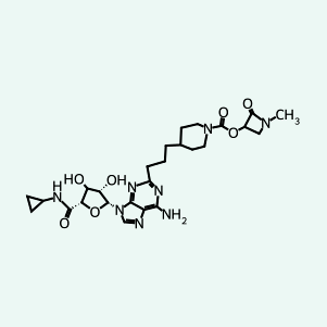 CN1CC(OC(=O)N2CCC(CCCc3nc(N)c4ncn([C@@H]5O[C@H](C(=O)NC6CC6)C(O)[C@@H]5O)c4n3)CC2)C1=O